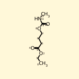 CCOC(=O)CCCOC(=O)NC